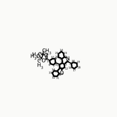 CC1(C)OB(c2ccc(-c3c4c(cc5c(-c6ccccc6)nc6ccccc6c35)oc3ccccc34)cc2)OC1(C)C